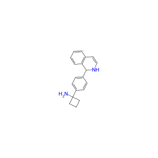 NC1(c2ccc(C3NC=Cc4[c]cccc43)cc2)CCC1